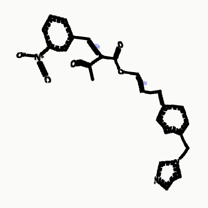 CC(=O)/C(=C\c1cccc([N+](=O)[O-])c1)C(=O)O/C=C/Cc1ccc(Cn2ccnc2)cc1